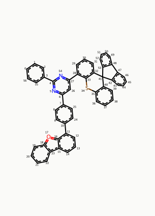 c1ccc(-c2nc(-c3ccc(-c4cccc5c4oc4ccccc45)cc3)cc(-c3cccc4c3Sc3ccccc3C43c4ccccc4-c4ccccc43)n2)cc1